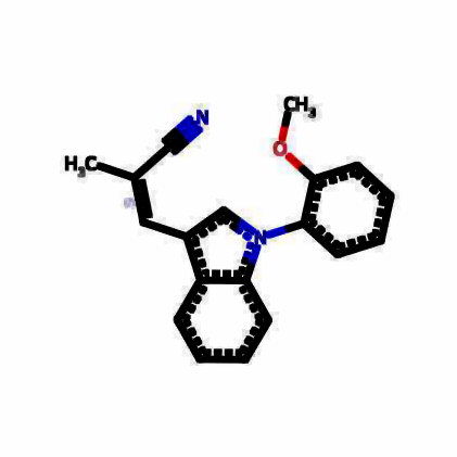 COc1ccccc1-n1cc(/C=C(/C)C#N)c2ccccc21